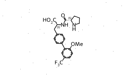 COc1ccc(C(F)(F)F)cc1-c1ccc(C[C@H](NC(=O)[C@@H]2CCCN2)C(=O)O)cc1